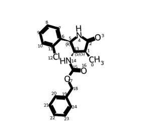 C[C@@H]1C(=O)N[C@H](c2ccccc2Cl)[C@H]1NC(=O)OCc1ccccc1